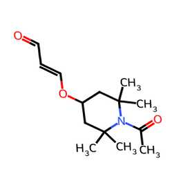 CC(=O)N1C(C)(C)CC(OC=CC=O)CC1(C)C